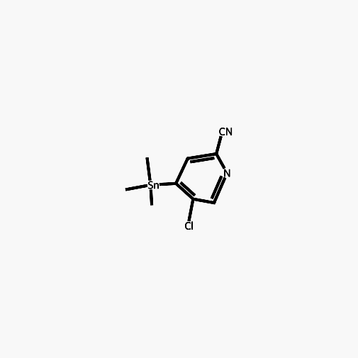 [CH3][Sn]([CH3])([CH3])[c]1cc(C#N)ncc1Cl